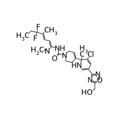 C=N/C(=C\C=C(/C)C(F)(F)CC)NC(=O)N1CC=C(C2(C)NC=C(c3noc(CO)n3)C=C2Cl)CC1